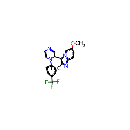 COc1ccc2nc(C)c(C3C=NC=CN3c3ccc(C(F)(F)F)cc3)n2c1